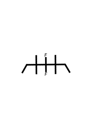 CCC(C)(C)C(F)(F)C(C)(C)CC